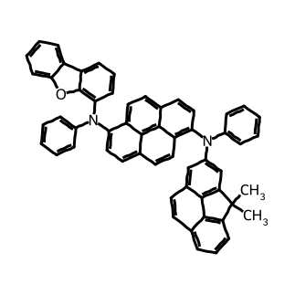 CC1(C)c2cccc3ccc4cc(N(c5ccccc5)c5ccc6ccc7c(N(c8ccccc8)c8cccc9c8oc8ccccc89)ccc8ccc5c6c87)cc1c4c23